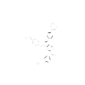 COc1ccc(Nc2ncc3c(-c4ccc(N5CCOCC5)cc4)nn(CC4CCC(N)CC4)c3n2)cc1